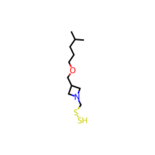 CC(C)CCCOCC1CN(CSS)C1